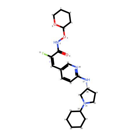 O=C(NOC1CCCCO1)/C(F)=C\c1ccc(N[C@@H]2CCN(C3CCCCC3)C2)nc1